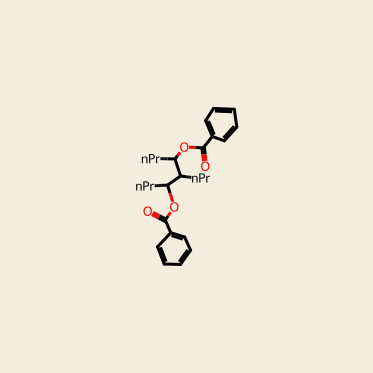 CCCC(OC(=O)c1ccccc1)C(CCC)C(CCC)OC(=O)c1ccccc1